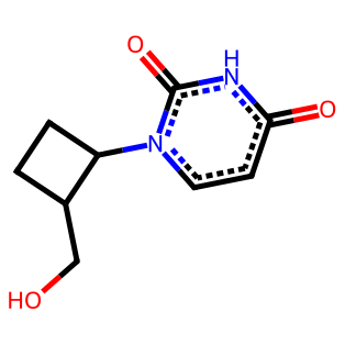 O=c1ccn(C2CCC2CO)c(=O)[nH]1